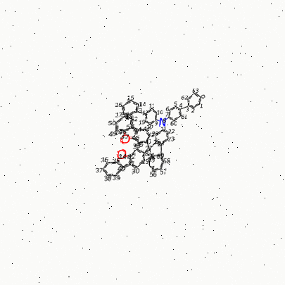 c1ccc(-c2ccc(N(c3ccc(-c4ccccc4)cc3)c3ccc4c(c3)C(c3ccc5c(c3)oc3ccccc35)(c3ccc5c(c3)oc3ccccc35)c3ccccc3-4)cc2)cc1